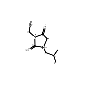 CC(C)CN1CC(=O)N(CBr)C1=O